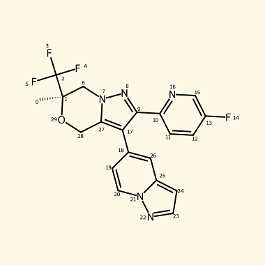 C[C@]1(C(F)(F)F)Cn2nc(-c3ccc(F)cn3)c(-c3ccn4nccc4c3)c2CO1